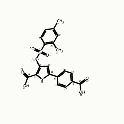 Cc1ccc(S(=O)(=O)Nc2cc(-c3ccc(C(=O)O)cc3)sc2C(=O)O)c(C)c1